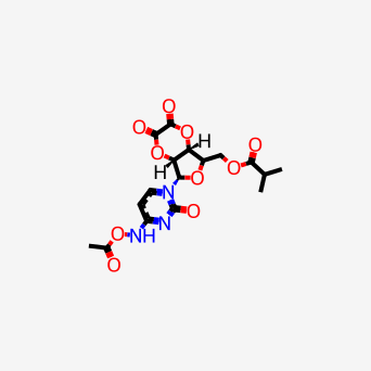 CC(=O)ONc1ccn([C@@H]2OC(COC(=O)C(C)C)[C@H]3OC(=O)C(=O)O[C@H]32)c(=O)n1